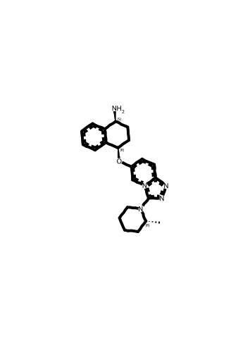 C[C@@H]1CCCCN1c1nnc2ccc(O[C@@H]3CC[C@H](N)c4ccccc43)cn12